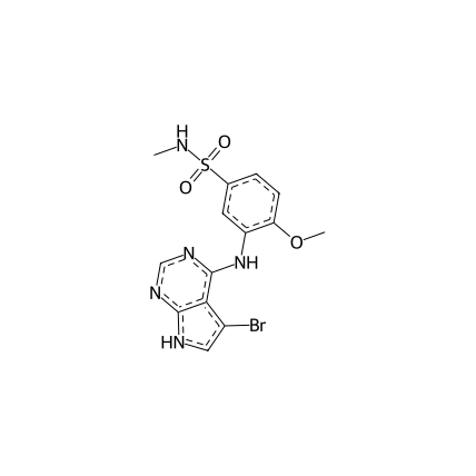 CNS(=O)(=O)c1ccc(OC)c(Nc2ncnc3[nH]cc(Br)c23)c1